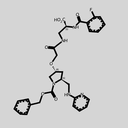 O=C(CO[C@@H]1C[C@@H](CNc2ccccn2)N(C(=O)OCc2ccccc2)C1)NC[C@H](NC(=O)c1ccccc1F)C(=O)O